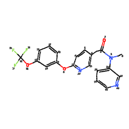 CN(C(=O)c1ccc(Oc2cccc(OC(F)(F)F)c2)nc1)c1cccnc1